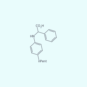 CCCCCc1ccc(NC(C(=O)O)c2ccccc2)cc1